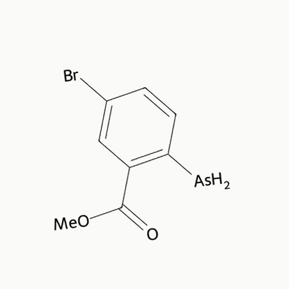 COC(=O)c1cc(Br)ccc1[AsH2]